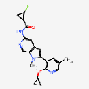 Cc1cnc(OC2CC2)c(-c2cc3cc(NC(=O)C4CC4F)ncc3n2C)c1